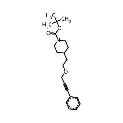 CC(C)(C)OC(=O)N1CCC(CCOCC#Cc2ccccc2)CC1